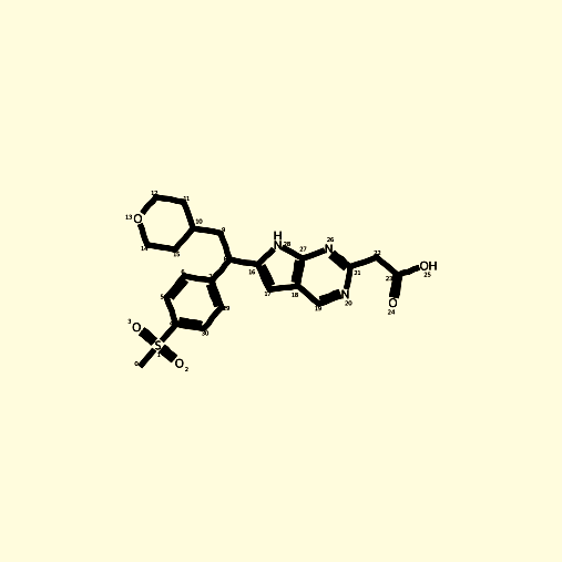 CS(=O)(=O)c1ccc(C(CC2CCOCC2)c2cc3cnc(CC(=O)O)nc3[nH]2)cc1